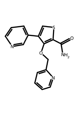 NC(=O)c1scc(-c2cccnc2)c1OCc1ccccn1